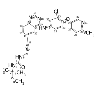 CCC(C)(C)NC(=O)NCC#Cc1ccc2ncnc(Nc3ccc(Oc4ccc(C)nc4)c(Cl)c3)c2c1